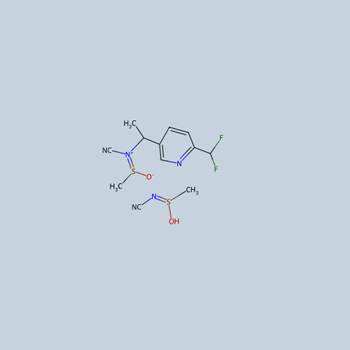 CC(c1ccc(C(F)F)nc1)[N+](C#N)=S(C)[O-].CS(O)=NC#N